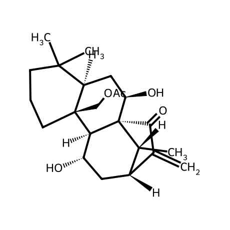 C=C1C(=O)[C@@]23[C@H](O)C[C@@H]4C(C)(C)CCC[C@@]4(COC(C)=O)[C@@H]2[C@@H](O)C[C@@H]1[C@H]3C